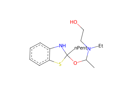 CCCCCC1(OC(C)N(CC)CCO)Nc2ccccc2S1